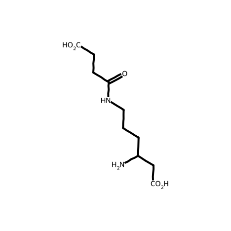 NC(CCCNC(=O)CCC(=O)O)CC(=O)O